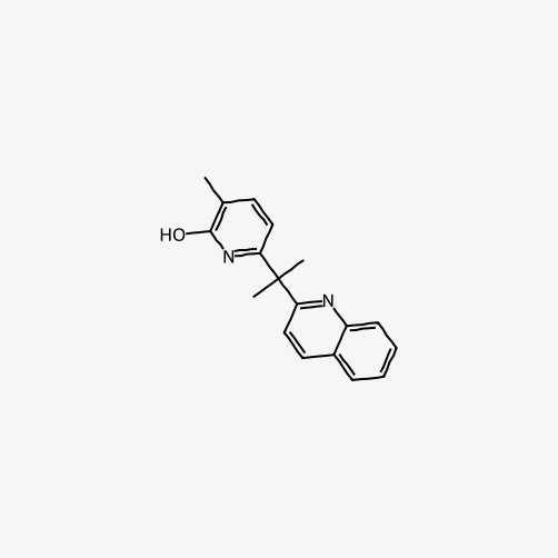 Cc1ccc(C(C)(C)c2ccc3ccccc3n2)nc1O